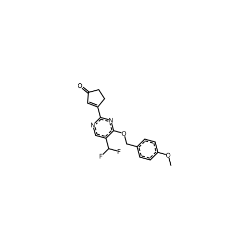 COc1ccc(COc2nc(C3=CC(=O)CC3)ncc2C(F)F)cc1